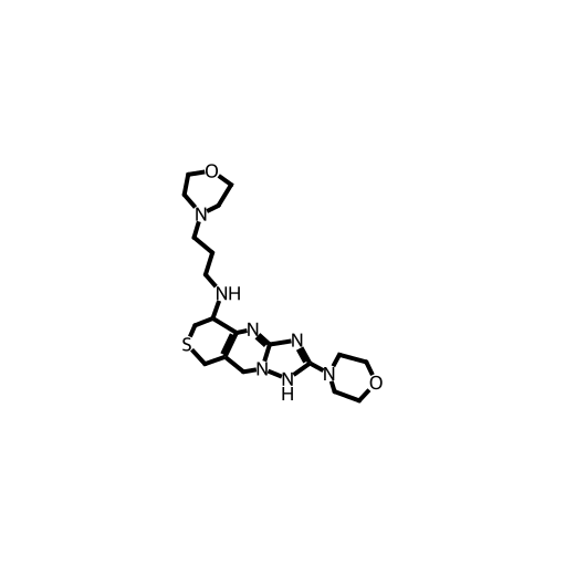 C(CNC1CSCC2=C1N=C1N=C(N3CCOCC3)NN1C2)CN1CCOCC1